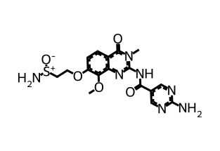 COc1c(OCC[S+](N)[O-])ccc2c(=O)n(C)c(NC(=O)c3cnc(N)nc3)nc12